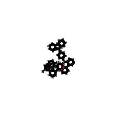 c1ccc(-c2ccccc2N(c2ccc(-n3c4ccccc4c4ccccc43)cc2)c2ccc3c(c2)C2(c4ccccc4-3)[C@H]3CCC4C[C@@H](C3)C[C@H]42)cc1